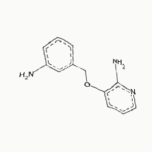 Nc1cccc(COc2cccnc2N)c1